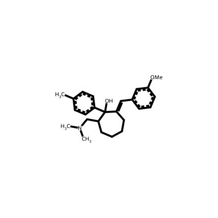 COc1cccc(/C=C2\CCCCC(CN(C)C)C2(O)c2ccc(C)cc2)c1